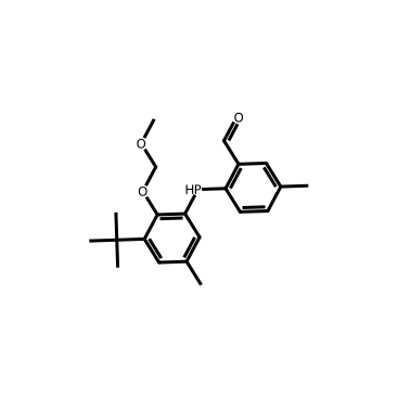 COCOc1c(Pc2ccc(C)cc2C=O)cc(C)cc1C(C)(C)C